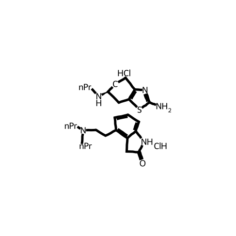 CCCN(CCC)CCc1cccc2c1CC(=O)N2.CCCN[C@H]1CCc2nc(N)sc2C1.Cl.Cl